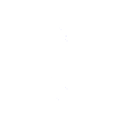 CN(C)/C=N/S(=O)(=O)c1cccc(Cc2cccc(Cn3c(-c4ccccc4)nc(Cl)c3C=O)c2)c1